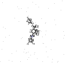 CCN(CCn1cc[n+](C)c1)c1ccc(/N=N/c2nc(C)c(C)s2)c(Cl)c1.[Br-]